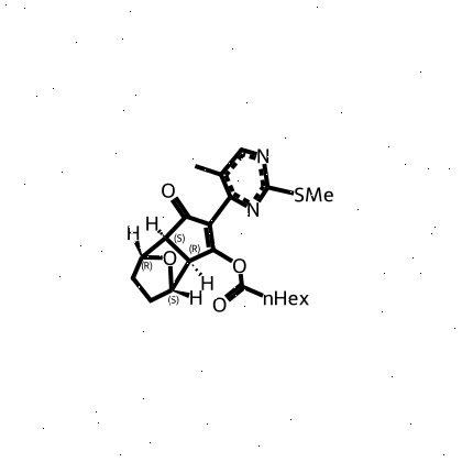 CCCCCCC(=O)OC1=C(c2nc(SC)ncc2C)C(=O)[C@H]2[C@@H]1[C@@H]1CC[C@H]2O1